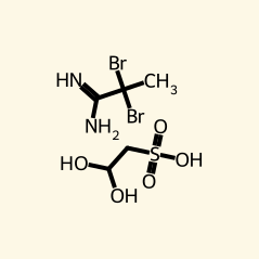 CC(Br)(Br)C(=N)N.O=S(=O)(O)CC(O)O